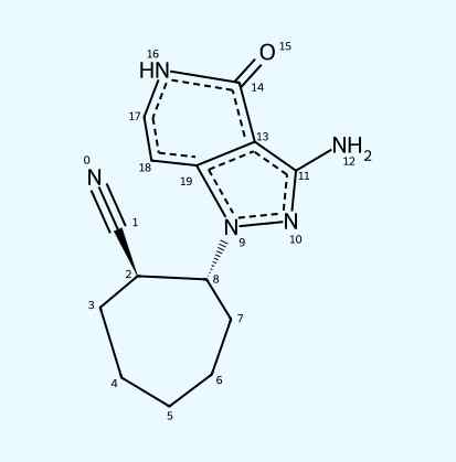 N#C[C@@H]1CCCCC[C@H]1n1nc(N)c2c(=O)[nH]ccc21